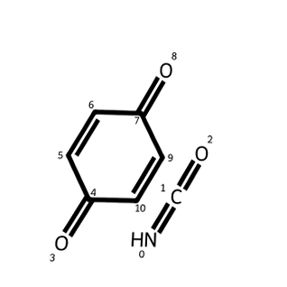 N=C=O.O=C1C=CC(=O)C=C1